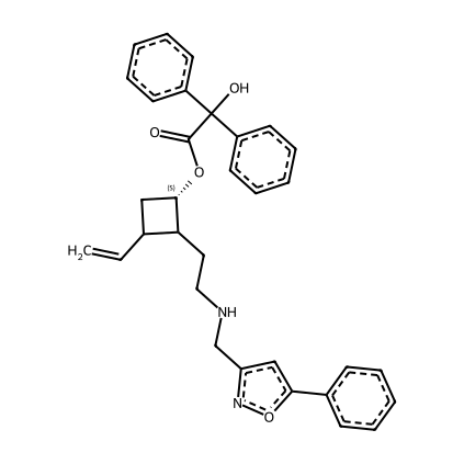 C=CC1C[C@H](OC(=O)C(O)(c2ccccc2)c2ccccc2)C1CCNCc1cc(-c2ccccc2)on1